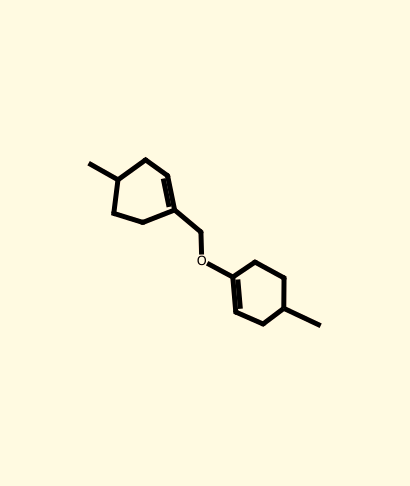 CC1CC=C(COC2=CCC(C)CC2)CC1